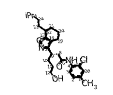 Cc1ccc(NC(=O)C[C@H](CCCO)c2noc3c2CCCC3CCC(C)C)c(Cl)c1